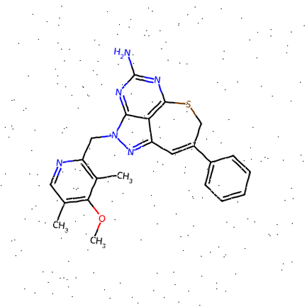 COc1c(C)cnc(Cn2nc3c4c(nc(N)nc42)SCC(c2ccccc2)=C3)c1C